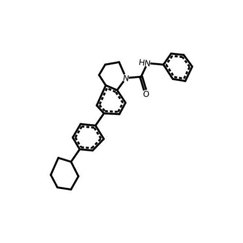 O=C(Nc1ccccc1)N1CCCc2cc(-c3ccc(C4CCCCC4)cc3)ccc21